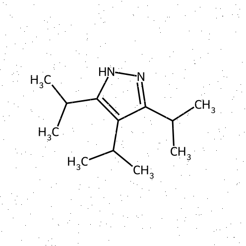 CC(C)c1n[nH]c(C(C)C)c1C(C)C